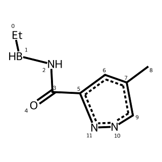 CCBNC(=O)c1cc(C)cnn1